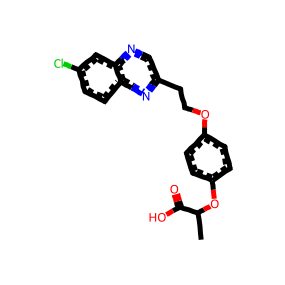 CC(Oc1ccc(OCCc2cnc3cc(Cl)ccc3n2)cc1)C(=O)O